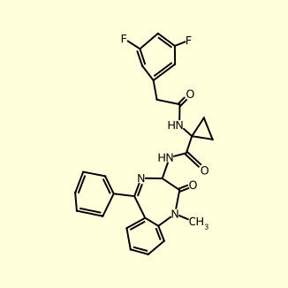 CN1C(=O)C(NC(=O)C2(NC(=O)Cc3cc(F)cc(F)c3)CC2)N=C(c2ccccc2)c2ccccc21